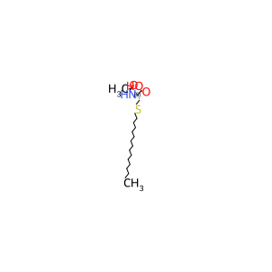 CCCCCCCCCCCCCCCCSCC[C@H](NC(C)=O)C(=O)O